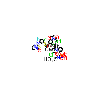 CC1COc2ccccc2N1C(=O)C(Cl)Cl.CCc1cccc(C)c1N(C(=O)CCl)C(C)COC.COC(=O)CSc1cc(/N=c2\sc(=O)n3n2CCCC3)c(F)cc1Cl.O=C(O)CNCP(=O)(O)O